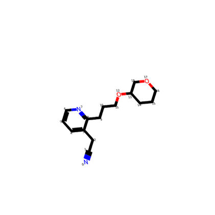 N#CCc1cccnc1CCCOC1CCCOC1